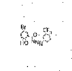 O=C(N=[N+]=Nc1cccc(C(F)(F)F)c1)c1cc(Br)ccc1O